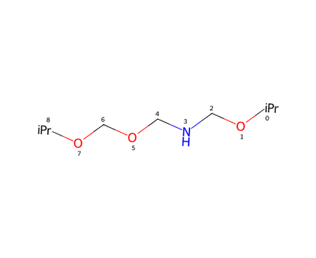 CC(C)OCNCOCOC(C)C